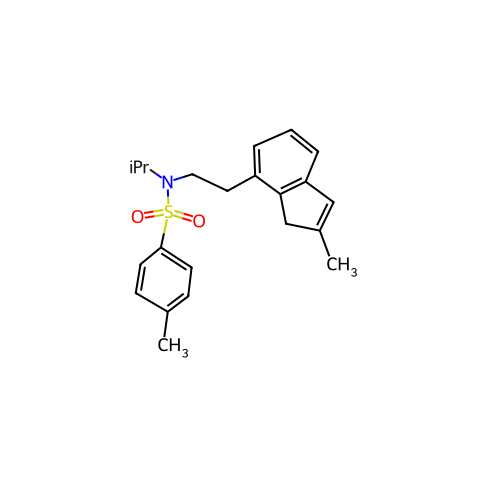 CC1=Cc2cccc(CCN(C(C)C)S(=O)(=O)c3ccc(C)cc3)c2C1